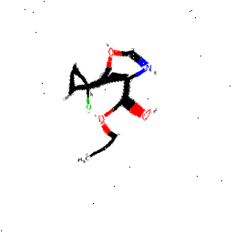 CCOC(=O)c1ncoc1C1(Cl)CC1